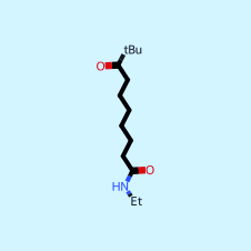 CCNC(=O)CCCCCCC(=O)C(C)(C)C